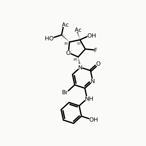 CC(=O)C(O)[C@H]1O[C@@H](n2cc(Br)c(Nc3ccccc3O)nc2=O)C(F)[C@@]1(O)C(C)=O